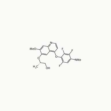 CNc1cc(F)c(Oc2ccnc3cc(OC)c(O[C@@H](C)CO)cc23)c(F)c1F